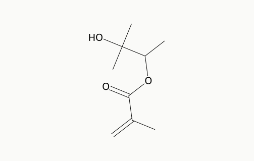 C=C(C)C(=O)OC(C)C(C)(C)O